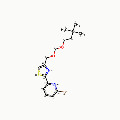 C[Si](C)(C)CCOCOCc1csc(-c2cccc(Br)n2)n1